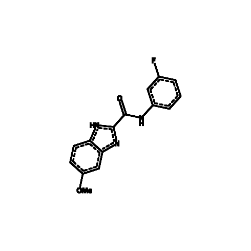 COc1ccc2[nH]c(C(=O)Nc3cccc(F)c3)nc2c1